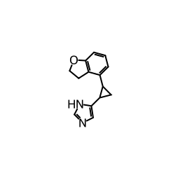 c1cc2c(c(C3CC3c3cnc[nH]3)c1)CCO2